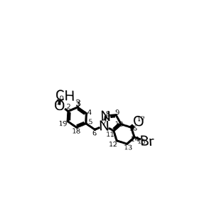 COc1ccc(Cn2ncc3c2CCC(Br)C3=O)cc1